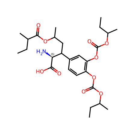 CCC(C)OC(=O)Oc1ccc(C(CC(C)OC(=O)C(C)CC)[C@H](N)C(=O)O)cc1OC(=O)OC(C)CC